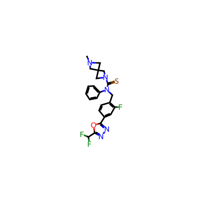 CN1CC2(C1)CN(C(=S)N(Cc1ccc(-c3nnc(C(F)F)o3)cc1F)c1ccccc1)C2